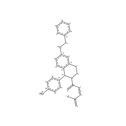 C=C(F)/C=C\C(=C)C1CCc2cc(OCc3ccccc3)ccc2C1c1ccc(O)cc1